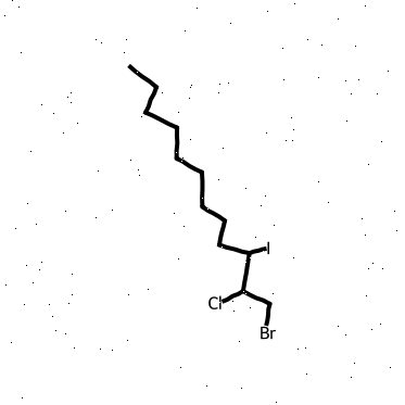 CCCCCCCCCC(I)C(Cl)CBr